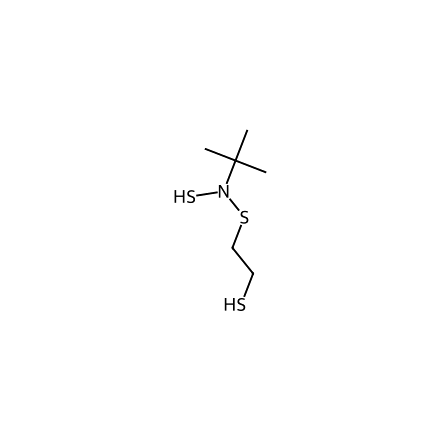 CC(C)(C)N(S)SCCS